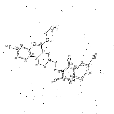 CCOC(=O)[C@H]1CN(CCn2c(=O)[nH]c3ccc(Br)cc3c2=O)CC[C@H]1c1ccc(F)cc1